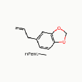 C=CCc1ccc2c(c1)OCO2.CCCCCC